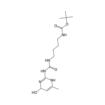 CC1=CC(O)N=C(NC(=O)NCCCCNC(=O)OC(C)(C)C)N1